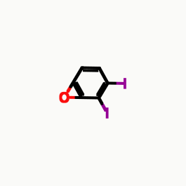 Ic1ccc2c(c1I)O2